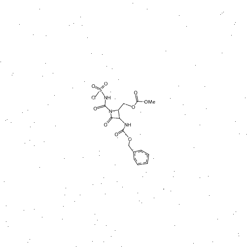 COC(=O)OCC1C(NC(=O)OCc2ccccc2)C(=O)N1C(=O)NS(=O)(=O)Cl